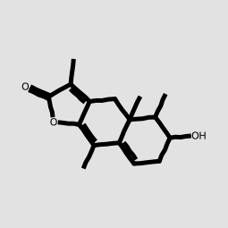 CC1=C2CC3(C)C(=CCC(O)C3C)C(C)=C2OC1=O